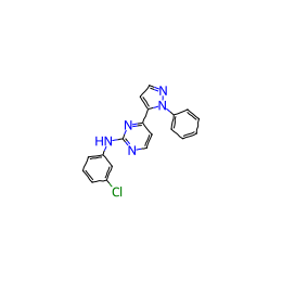 Clc1cccc(Nc2nccc(-c3ccnn3-c3ccccc3)n2)c1